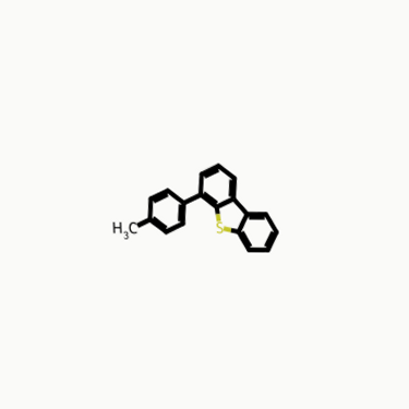 Cc1ccc(-c2cccc3c2sc2ccccc23)cc1